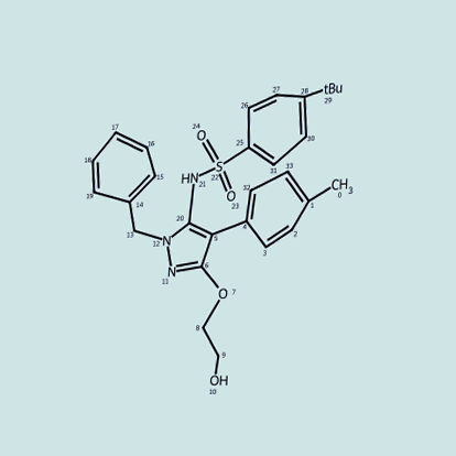 Cc1ccc(-c2c(OCCO)nn(Cc3ccccc3)c2NS(=O)(=O)c2ccc(C(C)(C)C)cc2)cc1